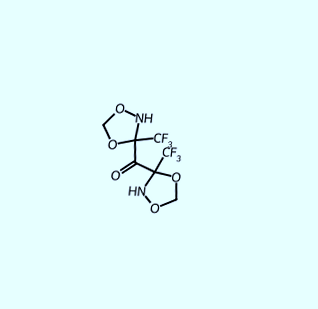 O=C(C1(C(F)(F)F)NOCO1)C1(C(F)(F)F)NOCO1